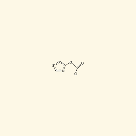 O=C(Cl)Oc1cscn1